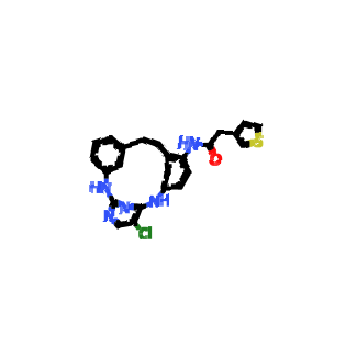 O=C(Cc1ccsc1)Nc1ccc2cc1CCc1cccc(c1)Nc1ncc(Cl)c(n1)N2